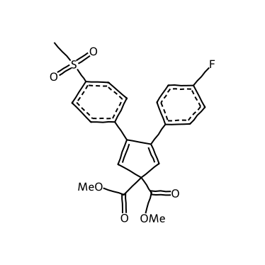 COC(=O)C1(C(=O)OC)C=C(c2ccc(F)cc2)C(c2ccc(S(C)(=O)=O)cc2)=C1